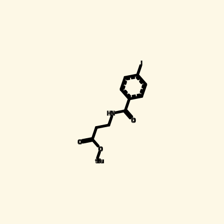 CC(C)(C)OC(=O)CCNC(=O)c1ccc(I)cc1